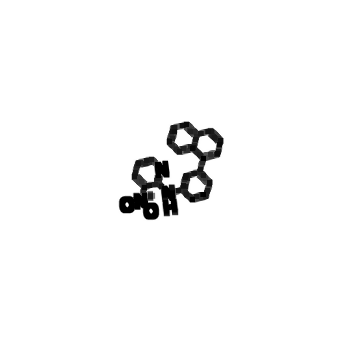 O=[N+]([O-])c1cccnc1Nc1cccc(-c2cccc3ccccc23)c1